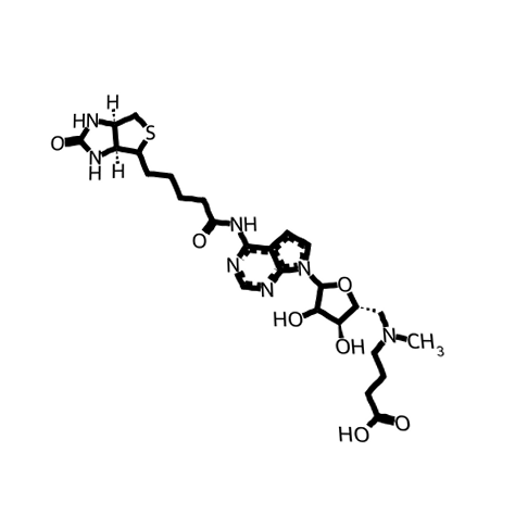 CN(CCCC(=O)O)C[C@H]1OC(n2ccc3c(NC(=O)CCCCC4SC[C@@H]5NC(=O)N[C@H]45)ncnc32)C(O)[C@@H]1O